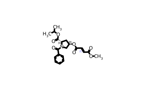 COC(=O)/C=C/C(=O)O[C@@H]1C[C@@H](C(=O)OC(C)C)N(C(=O)c2ccccc2)C1